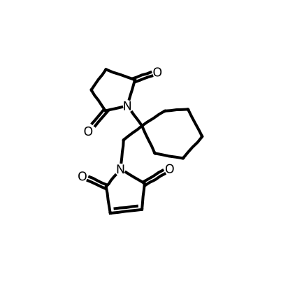 O=C1C=CC(=O)N1CC1(N2C(=O)CCC2=O)CCCCC1